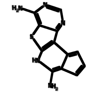 Nc1[nH]c2sc3c(N)ncnc3c2c2cccc1-2